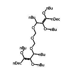 CCCCCCCCCCC(OCCCC)=C(OCCCC)C(CCCC)OCOCOC(CCCC)C(OCCCC)=C(CCCCCCCCCC)OCCCC